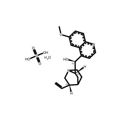 C=C[C@@H]1CN2CCC1C[C@H]2[C@@H](O)c1ccnc2ccc(OC)cc12.O.O=S(=O)(O)O